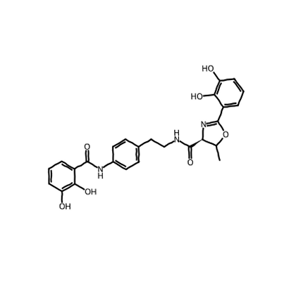 CC1OC(c2cccc(O)c2O)=N[C@@H]1C(=O)NCCc1ccc(NC(=O)c2cccc(O)c2O)cc1